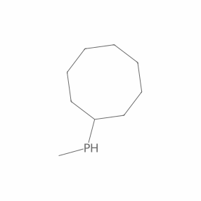 CPC1CCCCCCC1